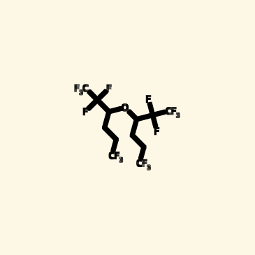 FC(F)(F)CCC(OC(CCC(F)(F)F)C(F)(F)C(F)(F)F)C(F)(F)C(F)(F)F